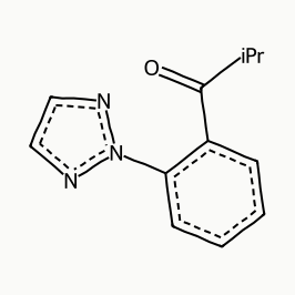 CC(C)C(=O)c1ccccc1-n1nccn1